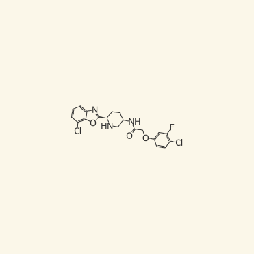 O=C(COc1ccc(Cl)c(F)c1)NC1CC[C@H](c2nc3cccc(Cl)c3o2)NC1